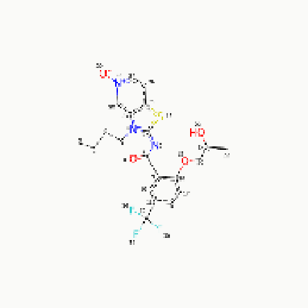 CCCCn1c(=NC(=O)c2cc(C(F)(F)F)ccc2OC[C@H](C)O)sc2cc[n+]([O-])cc21